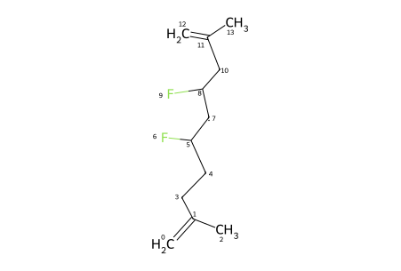 C=C(C)CCC(F)[CH]C(F)CC(=C)C